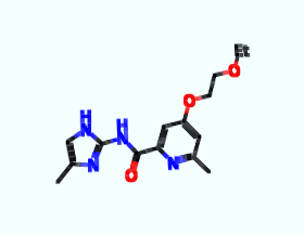 CCOCCOc1cc(C)nc(C(=O)Nc2nc(C)c[nH]2)c1